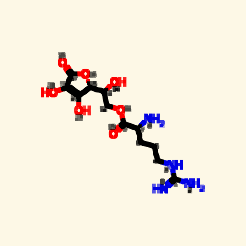 N=C(N)NCCC[C@H](N)C(=O)OC[C@H](O)[C@H]1OC(=O)C(O)=C1O